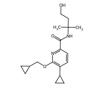 CC(C)(CCO)NC(=O)c1ccc(C2CC2)c(OCC2CC2)n1